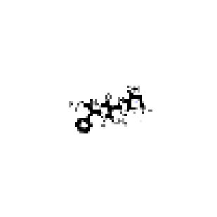 C#C/C=C(/O)c1nc(-c2c(C)[nH]c3c(-c4ccccc4)c(C(F)(F)F)nn3c2=O)oc1C